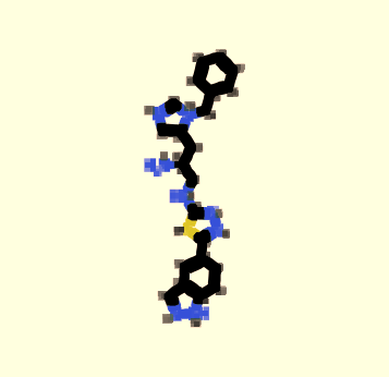 N[C@H](CNc1nnc(-c2ccc3[nH]ncc3c2)s1)Cc1cncn1Cc1ccccc1